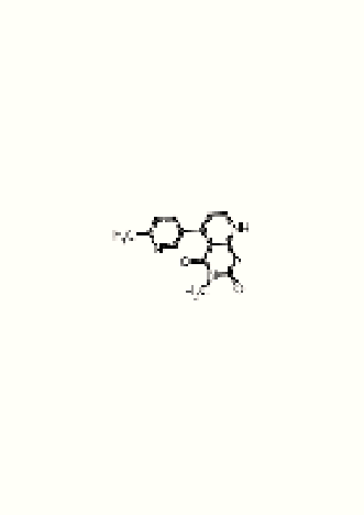 Cn1c(=O)nc2[nH]ccc(-c3ccc(C(F)(F)F)nc3)c-2c1=O